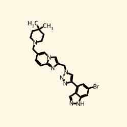 CC1(C)CCN(Cc2ccc3nc(Cn4cc(-c5cc(Br)cc6[nH]ncc56)nn4)cn3c2)CC1